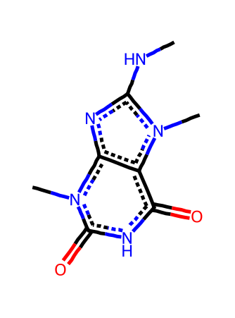 CNc1nc2c(c(=O)[nH]c(=O)n2C)n1C